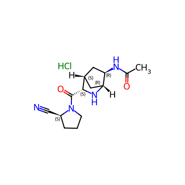 CC(=O)N[C@@H]1C[C@@H]2C[C@H]1N[C@@H]2C(=O)N1CCC[C@H]1C#N.Cl